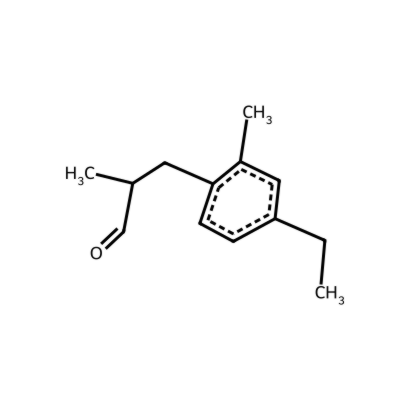 CCc1ccc(CC(C)C=O)c(C)c1